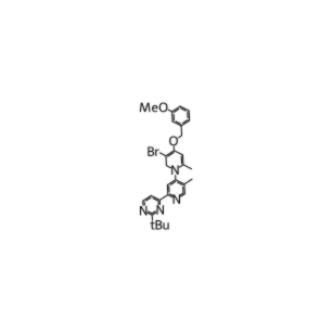 COc1cccc(COC2=C(Br)CN(c3cc(-c4ccnc(C(C)(C)C)n4)ncc3C)C(C)=C2)c1